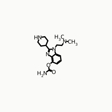 CN(C)CCn1c(C2CCNCC2)nc2c(OC(N)=O)cccc21